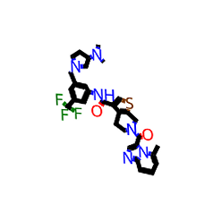 Cc1cccc2ncc(C(=O)N3CCc4c(C(=O)Nc5cc(CN6CCC(N(C)C)C6)cc(C(F)(F)F)c5)csc4C3)n12